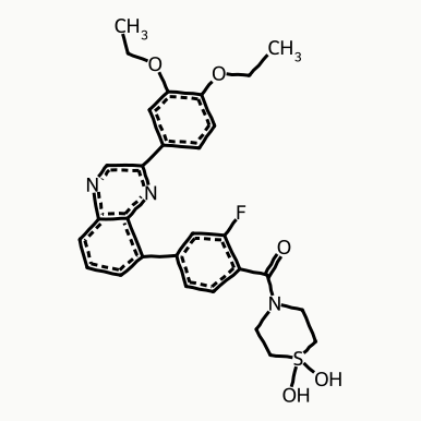 CCOc1ccc(-c2cnc3cccc(-c4ccc(C(=O)N5CCS(O)(O)CC5)c(F)c4)c3n2)cc1OCC